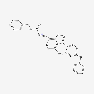 Nc1ncc(/C=C/C(=O)NCc2ccncc2)c2scc(-c3ccc(Oc4ccccc4)cc3)c12